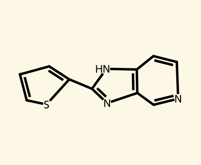 c1csc(-c2nc3cnccc3[nH]2)c1